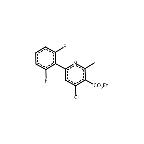 CCOC(=O)c1c(Cl)cc(-c2c(F)cccc2F)nc1C